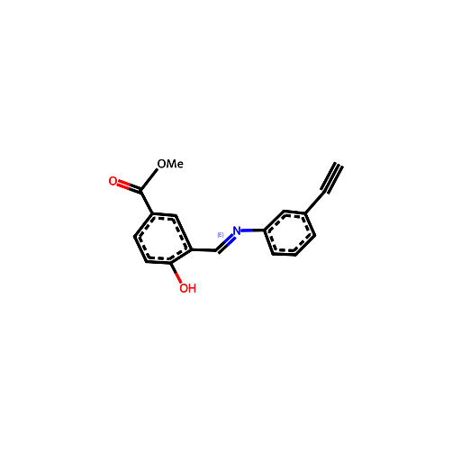 C#Cc1cccc(/N=C/c2cc(C(=O)OC)ccc2O)c1